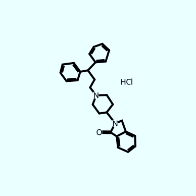 Cl.O=C1c2ccccc2CN1C1CCN(CCC(c2ccccc2)c2ccccc2)CC1